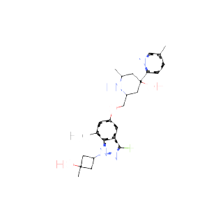 Cc1ccc(C2(O)CC(C)NC(COc3cc(C(F)(F)F)c4c(c3)c(F)nn4C3CC(C)(O)C3)C2)nc1